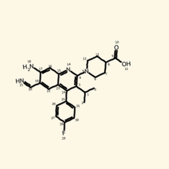 CC(C)c1c(N2CCC(C(=O)O)CC2)nc2cc(N)c(C=N)cc2c1-c1ccc(F)cc1